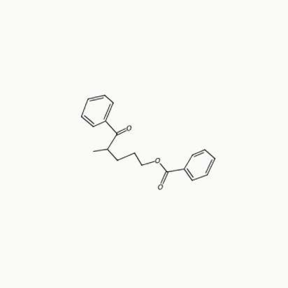 CC(CCCOC(=O)c1ccccc1)C(=O)c1ccccc1